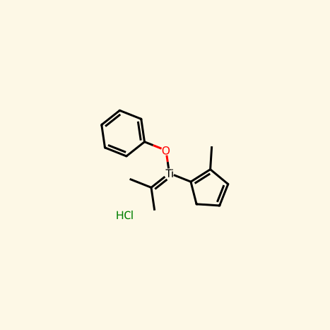 CC1=[C]([Ti]([O]c2ccccc2)=[C](C)C)CC=C1.Cl